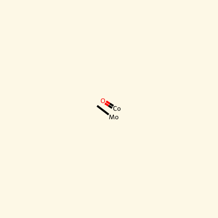 [CH3][Mo].[O]=[Co]